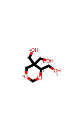 OCC1OCOCC1(CO)CO